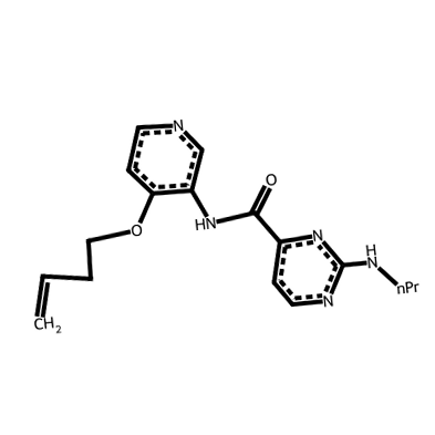 C=CCCOc1ccncc1NC(=O)c1ccnc(NCCC)n1